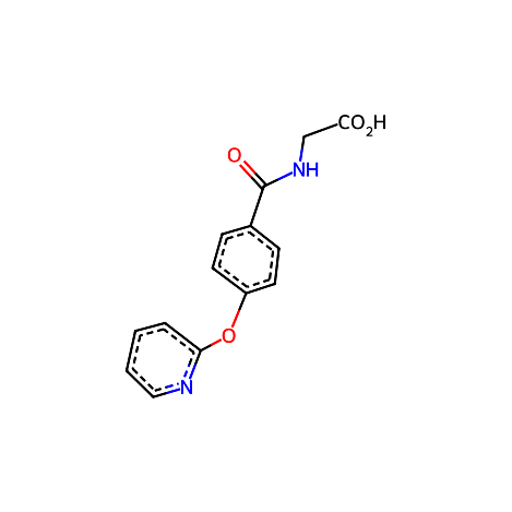 O=C(O)CNC(=O)c1ccc(Oc2ccccn2)cc1